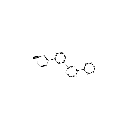 C#C/C=C(\C=C/C)c1cccc(-c2ncnc(-c3ccccc3)n2)c1